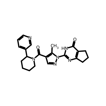 Cc1c(C(=O)N2CCCCC2c2cccnc2)cnn1-c1nc2c(c(=O)[nH]1)CCC2